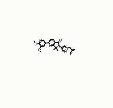 C=C(F)Cn1cc(N2C(=O)c3ccc(-c4cnc(OC)c(OC)c4)nc3C2(C)C)cn1